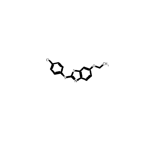 CCOc1ccc2nc(Sc3ccc(Cl)cc3)sc2c1